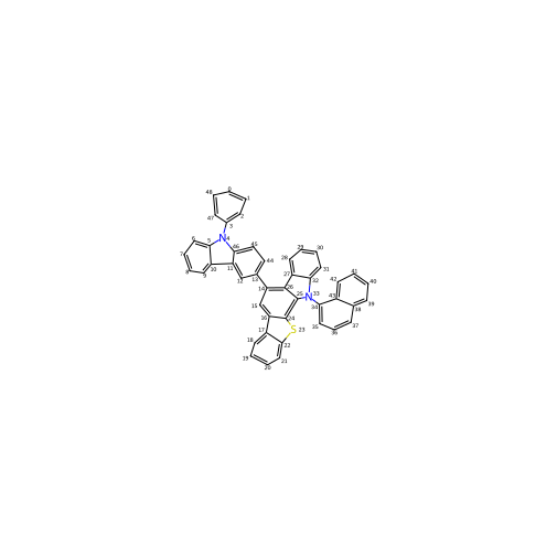 c1ccc(-n2c3ccccc3c3cc(-c4cc5c6ccccc6sc5c5c4c4ccccc4n5-c4cccc5ccccc45)ccc32)cc1